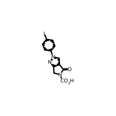 O=C(O)N1Cc2nn(-c3ccc(I)cc3)cc2C1=O